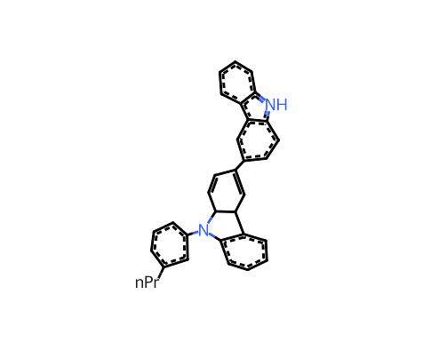 CCCc1cccc(N2c3ccccc3C3C=C(c4ccc5[nH]c6ccccc6c5c4)C=CC32)c1